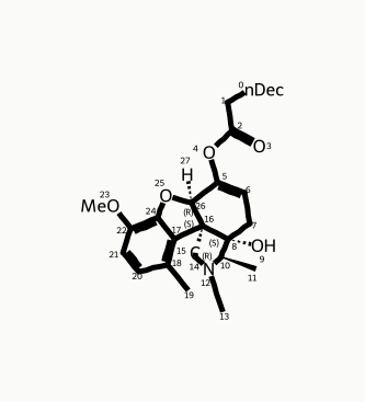 CCCCCCCCCCCC(=O)OC1=CC[C@@]2(O)[C@@H](C)N(C)CC[C@@]23c2c(C)ccc(OC)c2O[C@@H]13